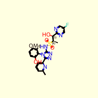 COc1cccc(O)c1-n1c(NS(=O)(=O)[C@H](C)[C@@H](O)c2ncc(F)cn2)nnc1C1=C=C=CC(C)=N1